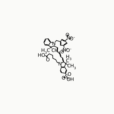 CC1(C)C(=CC=CC=CC2N(Cc3cc([N+](=O)[O-])cc([N+](=O)[O-])c3)c3ccccc3C2(C)C)N(CCCCCC(=O)O)c2ccc(S(=O)(=O)O)cc21